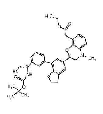 CCOC(=O)Cc1cccc2c1OC(c1cc(-c3cccc([C@@H](CO)NC(=O)OC(C)(C)C)c3)c3occc3c1)CN2C